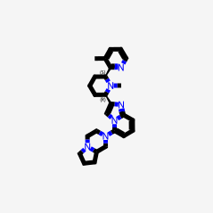 Cc1cccnc1[C@@H]1CCC[C@H](c2cn3c(N4CCN5CCCC5C4)cccc3n2)N1C